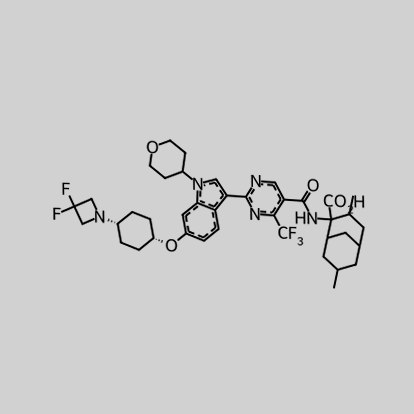 CC1CC2CC(C)C(NC(=O)c3cnc(-c4cn(C5CCOCC5)c5cc(O[C@H]6CC[C@@H](N7CC(F)(F)C7)CC6)ccc45)nc3C(F)(F)F)(C(=O)O)C(C1)C2